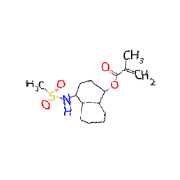 C=C(C)C(=O)OC1CCC(NS(C)(=O)=O)C2CCCCC12